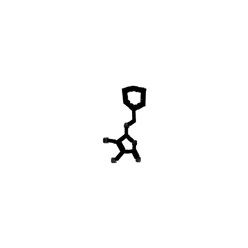 O=C1OC(OCc2ccccc2)C(Cl)=C1Cl